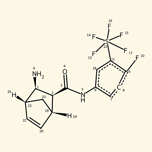 N[C@H]1[C@@H](C(=O)Nc2ccc(F)c(S(F)(F)(F)(F)F)c2)[C@@H]2C=C[C@H]1C2